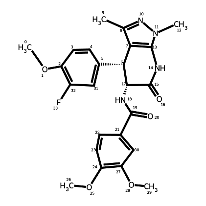 COc1ccc([C@@H]2c3c(C)nn(C)c3NC(=O)[C@@H]2NC(=O)c2ccc(OC)c(OC)c2)cc1F